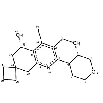 OCc1c(C2CCOCC2)nc2c(c1I)[C@@H](O)CC1(CCC1)C2